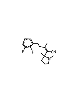 C/C(CCc1cccc(F)c1F)=C(\C#N)C1(C)CCCN1C